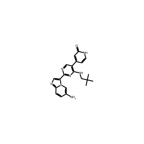 CC(C)(C)CNc1nc(-c2cnc3ccc(N)cn23)ncc1-c1cc[nH]c(=O)c1